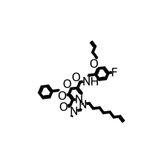 C=CCCCCCCN1CN(C)C(=O)c2c(OCc3ccccc3)c(=O)c(C(=O)NCc3ccc(F)cc3OCCC=C)cn21